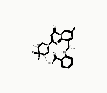 Cc1cc([C@H](C)Nc2ccccc2C(=O)O)c2nc(N3C[C@@H](C)C(F)(F)[C@@H](C)C3)cc(=O)n2c1